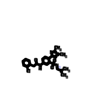 Cc1nc(-c2ccc(NC(=O)Cc3ccccc3Cl)cc2S(=O)(=O)/N=C/N(C)C)cn1C